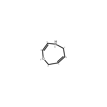 C1=C\CO/C=C\NC/1